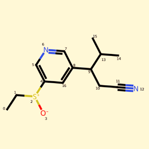 CC[S+]([O-])c1cncc(C(CC#N)C(C)C)c1